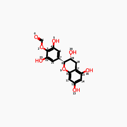 O=COc1c(O)cc([C@H]2Oc3cc(O)cc(O)c3C[C@H]2O)cc1O